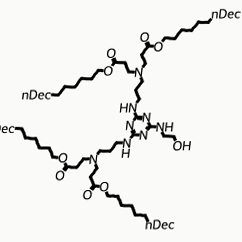 CCCCCCCCCCCCCCCCOC(=O)CCN(CCCNc1nc(NCCO)nc(NCCCN(CCC(=O)OCCCCCCCCCCCCCCCC)CCC(=O)OCCCCCCCCCCCCCCCC)n1)CCC(=O)OCCCCCCCCCCCCCCCC